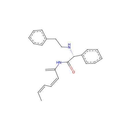 C=C(/C=C\C=C/C)NC(=O)[C@H](NCCc1ccccc1)c1ccccc1